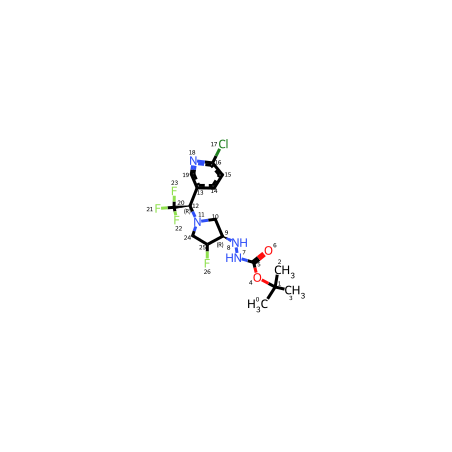 CC(C)(C)OC(=O)NN[C@@H]1CN([C@H](c2ccc(Cl)nc2)C(F)(F)F)CC1F